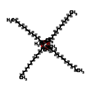 CCCCCCCCCCCCCCCCCC[Si]1(C)O[Si](C)(CCCCCCCCCCCCCCCCCC)O[Si](C)(CCCCCCCCCCCCCCCCCC)O[Si](C)(CCCCCCCCCCCCCCCCCC)O1